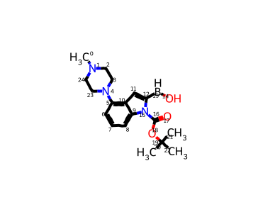 CN1CCN(c2cccc3c2cc(BO)n3C(=O)OC(C)(C)C)CC1